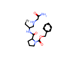 CC(C)CC(CNCC(N)=O)NC(=O)C1CCCN1C(=O)OCc1ccccc1